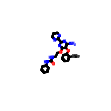 COc1ccccc1Oc1c(N)nc(-c2ncccn2)nc1OCCNC(=O)Nc1ccccc1